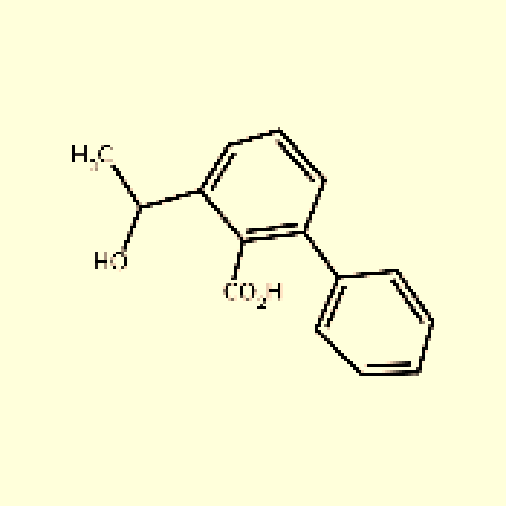 CC(O)c1cccc(-c2ccccc2)c1C(=O)O